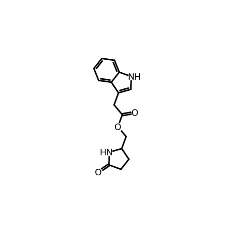 O=C1CCC(COC(=O)Cc2c[nH]c3ccccc23)N1